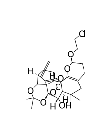 C=C1C(=O)[C@@]23C4OC(C)(C)O[C@]25OCC2(C6=C(CC[C@H](OCCCl)O6)CC(C)(C)[C@H]2[C@@H]5O)[C@@H]3CC[C@@H]14